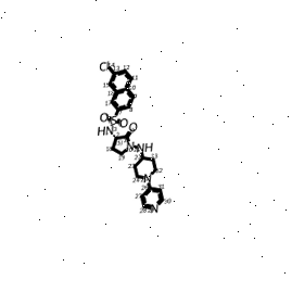 O=C1[C@@H](NS(=O)(=O)c2ccc3ccc(Cl)cc3c2)CCN1NC1CCN(c2ccncc2)CC1